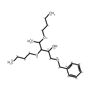 CCCCOC(C)C(OCCCC)C(O)COCc1ccccc1